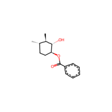 C[C@H]1[C@H](O)[C@@H](OC(=O)c2ccccc2)CC[C@@H]1C